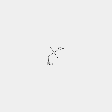 CC(C)(O)[CH2][Na]